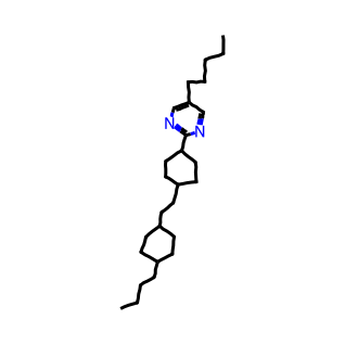 CCCCCc1cnc(C2CCC(CCC3CCC(CCCC)CC3)CC2)nc1